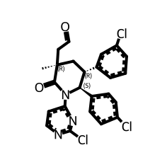 C[C@]1(CC=O)C[C@H](c2cccc(Cl)c2)[C@@H](c2ccc(Cl)cc2)N(c2ccnc(Cl)n2)C1=O